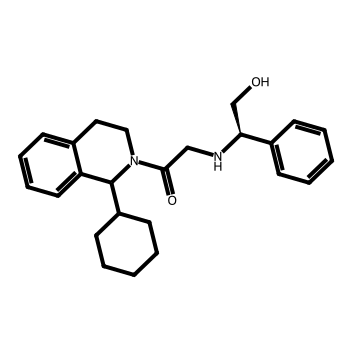 O=C(CN[C@@H](CO)c1ccccc1)N1CCc2ccccc2C1C1CCCCC1